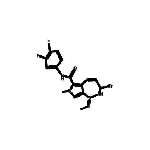 C/N=S1/NC(C(C)C)C=Cc2c1cn(C)c2C(=O)Nc1ccc(F)c(F)c1